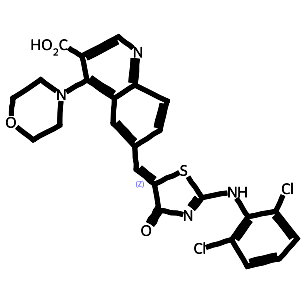 O=C1N=C(Nc2c(Cl)cccc2Cl)S/C1=C\c1ccc2ncc(C(=O)O)c(N3CCOCC3)c2c1